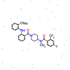 COc1ccccc1Nc1ccccc1C(=O)N1CCC(N(C)C(=O)c2ccc(F)cc2C(F)(F)F)CC1